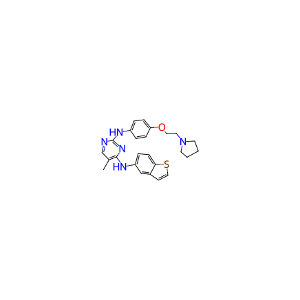 Cc1cnc(Nc2ccc(OCCN3CCCC3)cc2)nc1Nc1ccc2sccc2c1